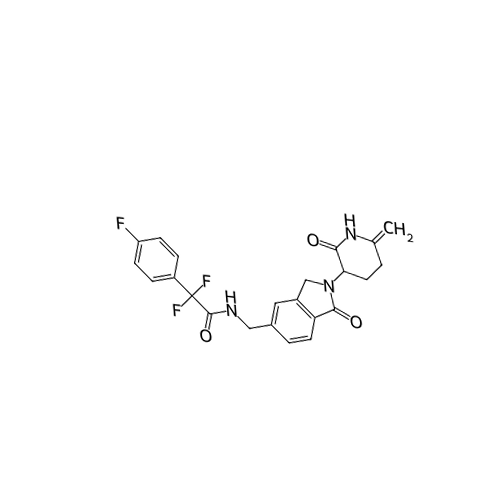 C=C1CCC(N2Cc3cc(CNC(=O)C(F)(F)c4ccc(F)cc4)ccc3C2=O)C(=O)N1